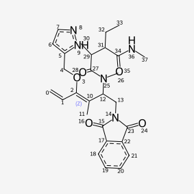 C=C/C(OCc1ccn[nH]1)=C(\C)C(CN1C(=O)c2ccccc2C1=O)N(C)C(=O)C(C)C(CC)C(=O)NC